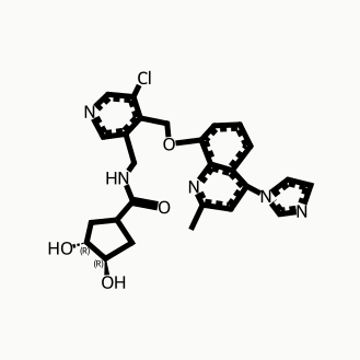 Cc1cc(-n2ccnc2)c2cccc(OCc3c(Cl)cncc3CNC(=O)C3C[C@@H](O)[C@H](O)C3)c2n1